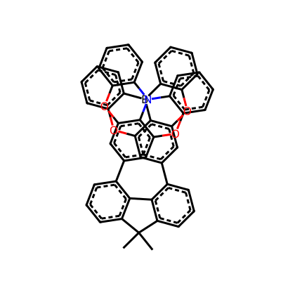 CC1(C)c2cccc(-c3cc4c5c(c3)Oc3ccccc3B5c3ccccc3O4)c2-c2c(-c3cc4c5c(c3)Oc3ccccc3N5c3ccccc3O4)cccc21